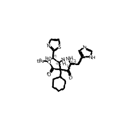 CC(C)(C)OC(=O)C(C(=O)[C@@H](N)Cc1cnc[nH]1)(C1CCCCC1)[C@H](N)[C@@H](O)c1nccs1